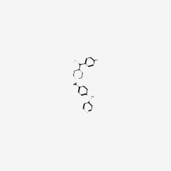 CN(c1ccncc1)c1ccc(C(=O)N2CCC(C(=N)c3ccc(Cl)cc3)CC2)cc1